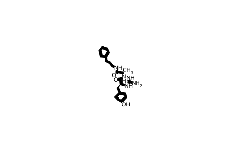 C[C@@H](NC(=O)[C@H](Cc1ccc(O)cc1)NC(=N)N)C(=O)NCCCc1ccccc1